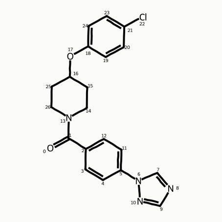 O=C(c1ccc(-n2cncn2)cc1)N1CCC(Oc2ccc(Cl)cc2)CC1